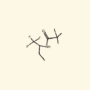 CCC(NC(=O)C(C)(C)C)C(F)(F)F